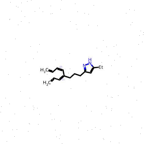 C=C/C=C\C(=C/C=C)CCCc1cc(CC)[nH]n1